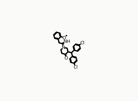 COc1ccccc1CC(=N)N1CCC(=O)C(C(c2ccc(Cl)cc2)c2ccc(Cl)cc2)C1